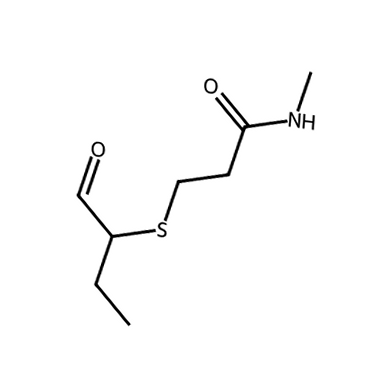 CCC(C=O)SCCC(=O)NC